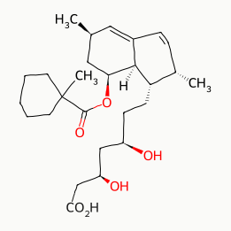 C[C@H]1C=C2C=C[C@H](C)[C@H](CC[C@@H](O)C[C@@H](O)CC(=O)O)[C@H]2[C@@H](OC(=O)C2(C)CCCCC2)C1